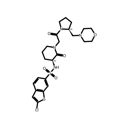 O=C1[C@@H](NS(=O)(=O)c2ccc3cc(Cl)sc3c2)CCCN1CC(=O)N1CCC[C@H]1CN1CCOCC1